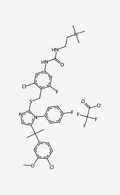 COc1cc(C(C)(C)c2cnc(SCc3c(F)cc(NC(=O)NCC[N+](C)(C)C)cc3Cl)n2-c2ccc(F)cc2)ccc1Cl.O=C([O-])C(F)(F)F